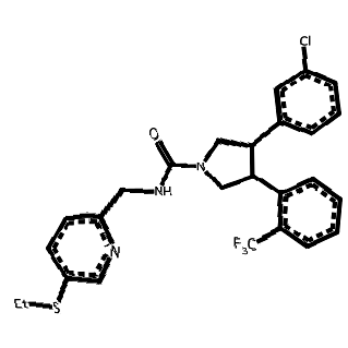 CCSc1ccc(CNC(=O)N2CC(c3cccc(Cl)c3)C(c3ccccc3C(F)(F)F)C2)nc1